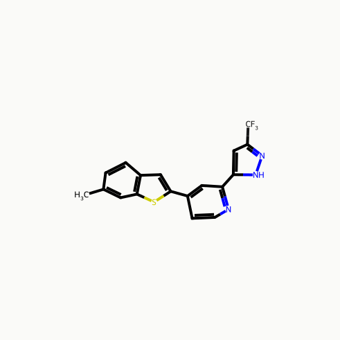 Cc1ccc2cc(-c3ccnc(-c4cc(C(F)(F)F)n[nH]4)c3)sc2c1